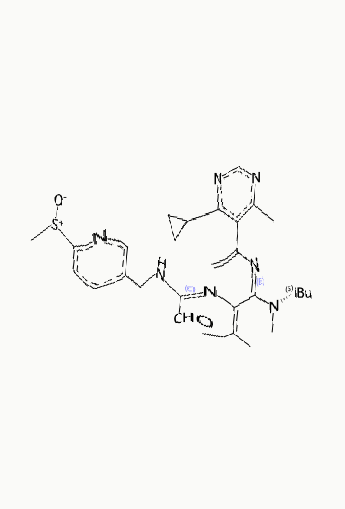 C=C(/N=C(\C(/N=C(\C=O)NCc1ccc([S+](C)[O-])nc1)=C(C)C)N(C)[C@@H](C)CC)c1c(C)ncnc1C1CC1